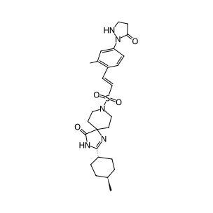 Cc1cc(N2NCCC2=O)ccc1/C=C/S(=O)(=O)N1CCC2(CC1)N=C([C@H]1CC[C@H](C)CC1)NC2=O